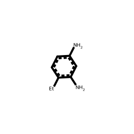 CCc1ccc(N)cc1N